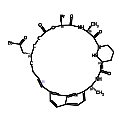 CCC(=O)C[C@H]1CC/C=C/c2ccc3ccc(nc3c2)[C@@H](C)NC(=O)[C@@H]2CCCN(N2)C(=O)[C@H](C)NC(=O)[C@H](C(C)C)OC(=O)CC1